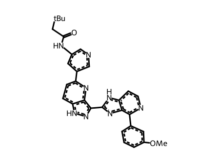 COc1cccc(-c2nccc3[nH]c(-c4n[nH]c5ccc(-c6cncc(NC(=O)CC(C)(C)C)c6)nc45)nc23)c1